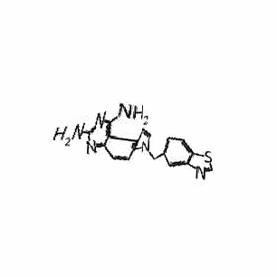 Nc1nc(N)c2c(ccc3c2ccn3Cc2ccc3scnc3c2)n1